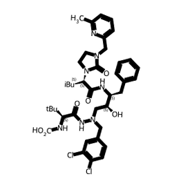 CC[C@H](C)[C@@H](C(=O)N[C@@H](Cc1ccccc1)[C@@H](O)CN(Cc1ccc(Cl)c(Cl)c1)NC(=O)[C@@H](NC(=O)O)C(C)(C)C)N1CCN(Cc2cccc(C)n2)C1=O